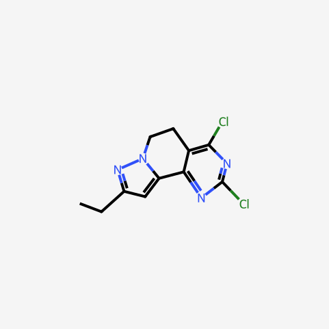 CCc1cc2n(n1)CCc1c(Cl)nc(Cl)nc1-2